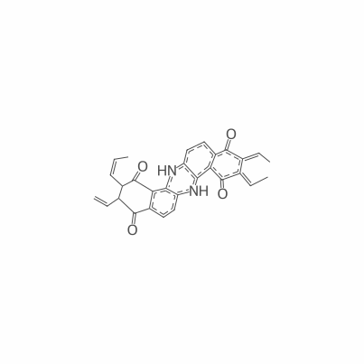 C=CC1C(=O)c2ccc3[nH]c4c(ccc5c(=O)c(=C/C)/c(=C\C)c(=O)c54)[nH]c3c2C(=O)C1/C=C\C